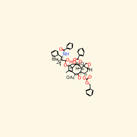 CC(=O)O[C@H]1C(=O)[C@]2(C)[C@@H](OC(=O)OCc3ccccc3)C[C@H]3OC[C@@]3(OC(C)=O)[C@H]2[C@H](OC(=O)c2ccccc2)[C@]2(O)C[C@H](OC(=O)[C@@H]([C@@H](NC(=O)c3ccccc3)c3ccccc3)[Si](C)(C)C(C)(C)C)C(C)=C1C2(C)C